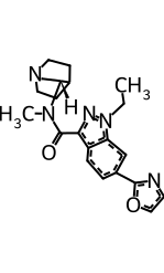 CCn1nc(C(=O)N(C)[C@@H]2CN3CCC2CC3)c2ccc(-c3ncco3)cc21